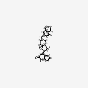 C[C@@H]1CN(c2cc(=O)n(C)c3ncccc23)C[C@@H]2CCN(Cc3ccc4c(c3)CNCC4)CCN21